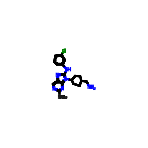 CNc1ncc2nc(Nc3cccc(Cl)c3)n(C3CCC(CN)CC3)c2n1